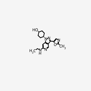 CCNc1cc2c(cn1)c(-c1cnc(C)o1)nn2[C@H]1CC[C@H](O)CC1